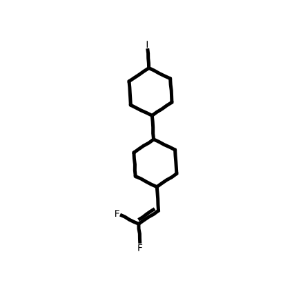 FC(F)=CC1CCC(C2CCC(I)CC2)CC1